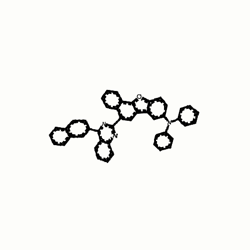 c1ccc(N(c2ccccc2)c2ccc3oc4c5ccccc5c(-c5nc(-c6ccc7ccccc7c6)c6ccccc6n5)cc4c3c2)cc1